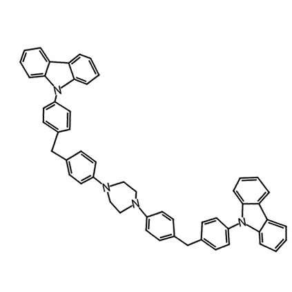 c1ccc2c(c1)c1ccccc1n2-c1ccc(Cc2ccc(N3CCN(c4ccc(Cc5ccc(-n6c7ccccc7c7ccccc76)cc5)cc4)CC3)cc2)cc1